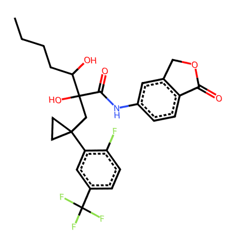 CCCCC(O)C(O)(CC1(c2cc(C(F)(F)F)ccc2F)CC1)C(=O)Nc1ccc2c(c1)COC2=O